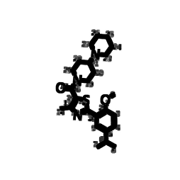 COc1ccc(C(C)C)cc1-c1nc(C)c(C(=O)N2CCC(N3CCCCC3)CC2)s1